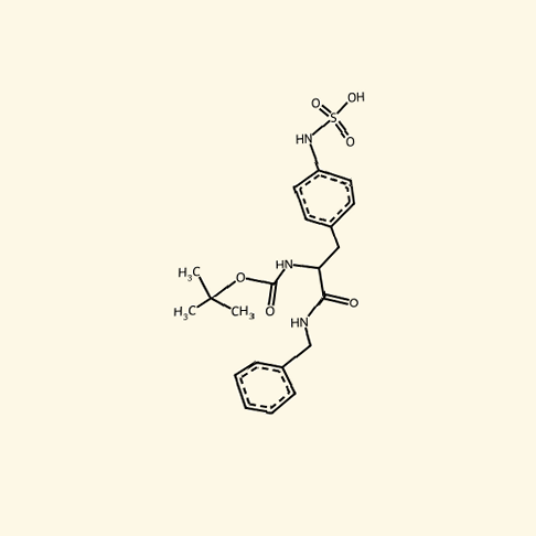 CC(C)(C)OC(=O)NC(Cc1ccc(NS(=O)(=O)O)cc1)C(=O)NCc1ccccc1